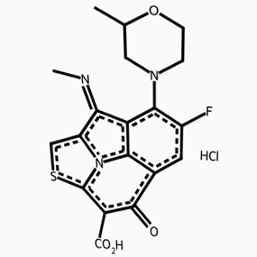 CN=c1c2c(N3CCOC(C)C3)c(F)cc3c(=O)c(C(=O)O)c4scc1n4c32.Cl